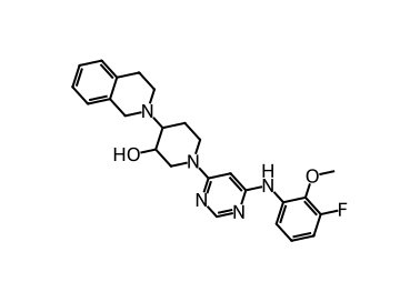 COc1c(F)cccc1Nc1cc(N2CCC(N3CCc4ccccc4C3)C(O)C2)ncn1